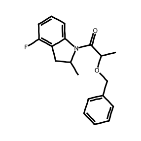 CC(OCc1ccccc1)C(=O)N1c2cccc(F)c2CC1C